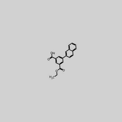 CCOC(=O)c1cc(C(=O)O)cc(-c2ccc3ccccc3c2)c1